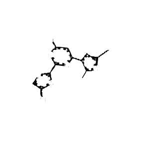 Cc1cc(-c2cc(N)nc(-c3nc(C(F)(F)F)cs3)n2)c(C)s1